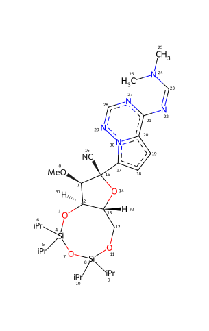 CO[C@@H]1[C@@H]2O[Si](C(C)C)(C(C)C)O[Si](C(C)C)(C(C)C)OC[C@H]2O[C@@]1(C#N)c1ccc2c(/N=C\N(C)C)ncnn12